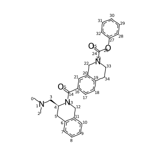 CN(C)C[C@@H]1Cc2ccccc2CN1C(=O)c1ccc2c(c1)CN(C(=O)Oc1ccccc1)CC2